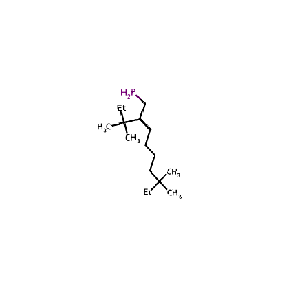 CCC(C)(C)CCCCC(CP)C(C)(C)CC